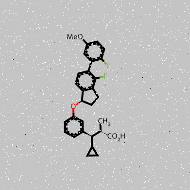 COc1ccc(F)c(-c2ccc3c(c2F)CC[C@H]3Oc2cccc([C@H](C3CC3)[C@H](C)C(=O)O)c2)c1